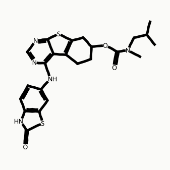 CC(C)CN(C)C(=O)OC1CCc2c(sc3ncnc(Nc4ccc5[nH]c(=O)sc5c4)c23)C1